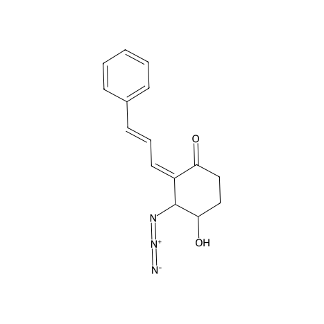 [N-]=[N+]=NC1C(=CC=Cc2ccccc2)C(=O)CCC1O